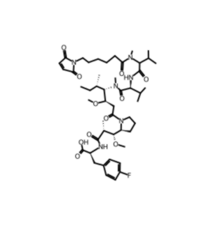 CC[C@H](C)[C@@H]([C@@H](CC(=O)N1CCC[C@H]1[C@H](OC)[C@@H](C)C(=O)N[C@@H](Cc1ccc(F)cc1)C(=O)O)OC)N(C)C(=O)[C@@H](NC(=O)C(C(C)C)N(C)C(=O)CCCCCN1C(=O)C=CC1=O)C(C)C